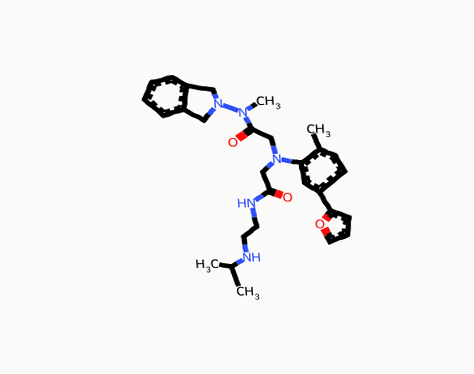 Cc1ccc(-c2ccco2)cc1N(CC(=O)NCCNC(C)C)CC(=O)N(C)N1Cc2ccccc2C1